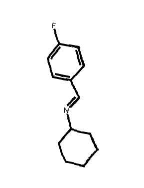 Fc1ccc(/C=N/C2CCCCC2)cc1